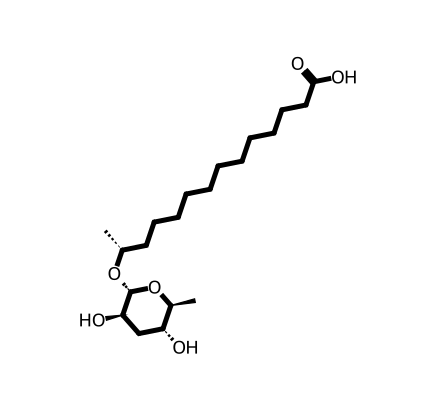 C[C@H](CCCCCCCCCCCC(=O)O)O[C@@H]1O[C@@H](C)[C@H](O)C[C@H]1O